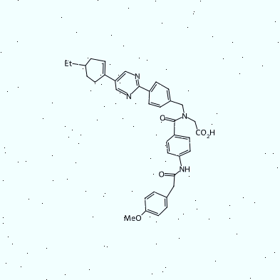 CCC1CC=C(c2cnc(-c3ccc(CN(CC(=O)O)C(=O)c4ccc(NC(=O)Cc5ccc(OC)cc5)cc4)cc3)nc2)CC1